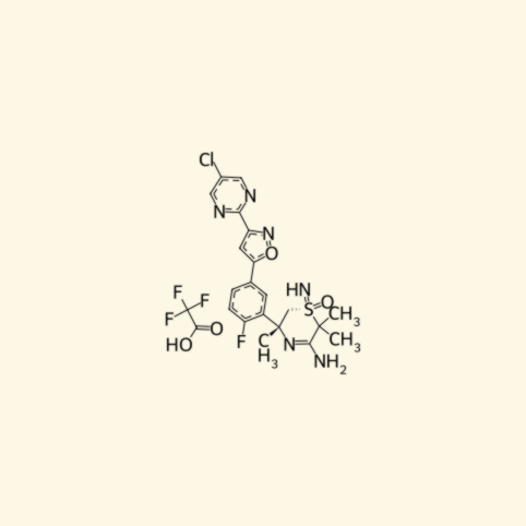 CC1(C)C(N)=N[C@](C)(c2cc(-c3cc(-c4ncc(Cl)cn4)no3)ccc2F)C[S@]1(=N)=O.O=C(O)C(F)(F)F